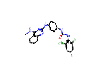 CN(C)c1nc(NC2CCC(NC(=O)Nc3c(Cl)cc(Cl)cc3Cl)CC2)nc2c1CCCC2